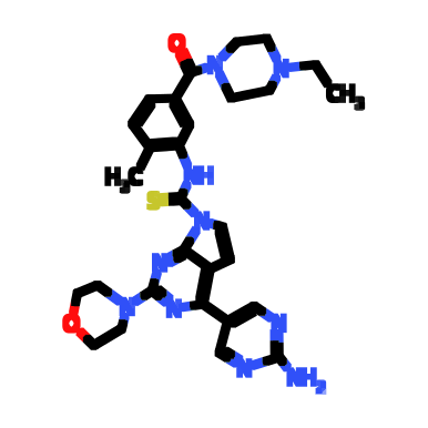 CCN1CCN(C(=O)c2ccc(C)c(NC(=S)n3ccc4c(-c5cnc(N)nc5)nc(N5CCOCC5)nc43)c2)CC1